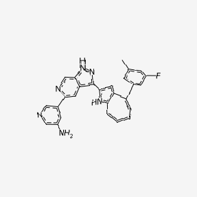 Cc1cc(F)cc(C2=CC=C=Cc3[nH]c(-c4n[nH]c5cnc(-c6cncc(N)c6)cc45)cc32)c1